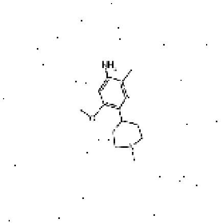 COc1cc(N)c(C)cc1C1CCN(C)CC1